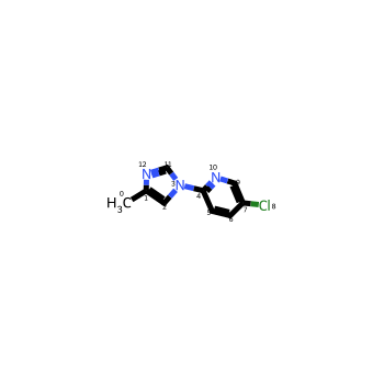 Cc1cn(-c2ccc(Cl)cn2)cn1